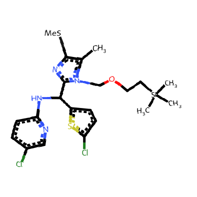 CSc1nc(C(Nc2ccc(Cl)cn2)c2ccc(Cl)s2)n(COCC[Si](C)(C)C)c1C